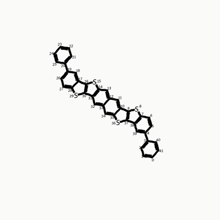 c1ccc(-c2ccc3sc4c5cc6cc7sc8c9cc(-c%10ccccc%10)ccc9sc8c7cc6cc5sc4c3c2)cc1